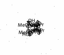 C=CCOC(=O)N[C@H](C(=O)N[C@@H](C)C(=O)Nc1ccc(COC(=O)Nc2cc(OCCCCCOc3cc(NC(=O)OCc4ccc(NC(=O)[C@H](C)NC(=O)[C@@H](NC(=O)OCC=C)C(C)C)cc4)c(C(=O)N4C=C(C)C[C@H]4CO)cc3OC)c(OC)cc2C(=O)N2C=C(C)C[C@H]2CO)cc1)C(C)C